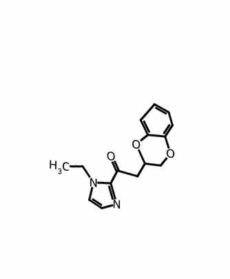 CCn1ccnc1C(=O)CC1COc2ccccc2O1